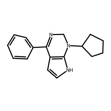 c1ccc(C2=NCN(C3CCCC3)c3[nH]ccc32)cc1